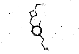 BCCc1ccc(CC2CN(CC(C)CC)C2)c(C)c1